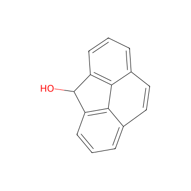 OC1c2cccc3ccc4cccc1c4c23